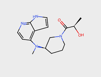 C[C@@H](O)C(=O)N1CCC[C@@H](N(C)c2ccnc3[nH]ccc23)C1